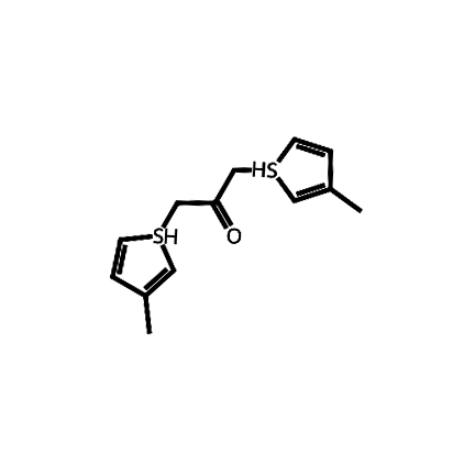 CC1=C[SH](CC(=O)C[SH]2C=CC(C)=C2)C=C1